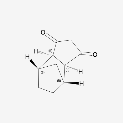 O=C1CC(=O)[C@H]2[C@@H]3CC[C@@H](C3)[C@@H]12